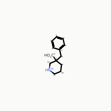 O=C(O)C1(Cc2ccccc2)CCCNC1